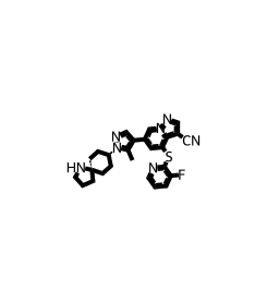 Cc1c(-c2cc(Sc3ncccc3F)c3c(C#N)cnn3c2)cnn1[C@H]1CC[C@@]2(CCCN2)CC1